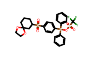 O=S(=O)(c1ccc(S(OS(=O)(=O)C(F)(F)F)(c2ccccc2)c2ccccc2)cc1)C1CCCC2(C1)OCCO2